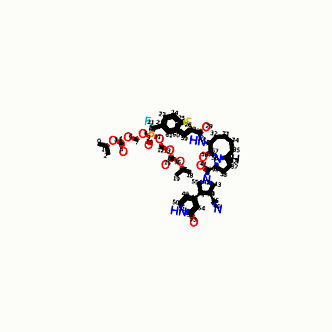 CC(C)OC(=O)OCOP(=O)(OCOC(=O)OC(C)C)[C@H](F)c1ccc2sc(C(=O)N[C@H]3CCCC[C@H]4CC[C@@H](C(=O)N5C[C@@H](C#N)[C@H](c6cc[nH]c(=O)c6)C5)N4C3=O)cc2c1